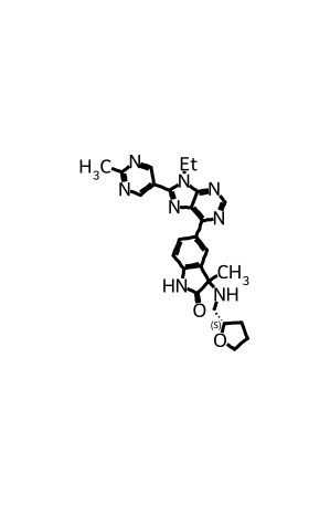 CCn1c(-c2cnc(C)nc2)nc2c(-c3ccc4c(c3)C(C)(NC[C@@H]3CCCO3)C(=O)N4)ncnc21